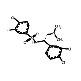 CN(C)C[C@@H](NS(=O)(=O)c1ccc(Cl)c(F)c1)c1ccc(Cl)c(Cl)c1